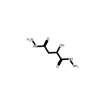 NNC(=O)CC(O)C(=O)NN